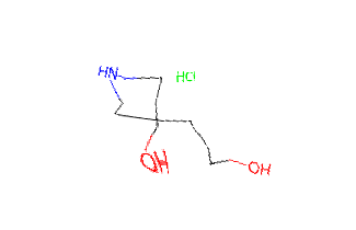 Cl.OCCC1(O)CNC1